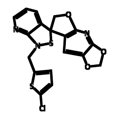 Clc1ccc(CN2SC3(COc4nc5c(cc43)OCO5)c3cccnc32)s1